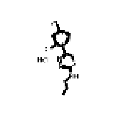 CCCNC1=NN=C(c2ccc(Cl)cc2Cl)CS1.Cl